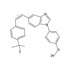 CC(C)Oc1ccc(-n2cnc3cc(/C=C\c4ccc(C(C)(C)F)cc4)ccc32)cc1